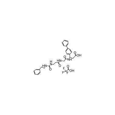 O=C(O)C(F)(F)F.O=C(O)CC(NC(=O)CNC(=O)CCNC(=O)NCCc1ccccc1)c1ccc(-c2ccccc2)cc1